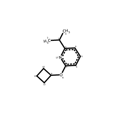 CC(C)c1cccc(OC2CCC2)n1